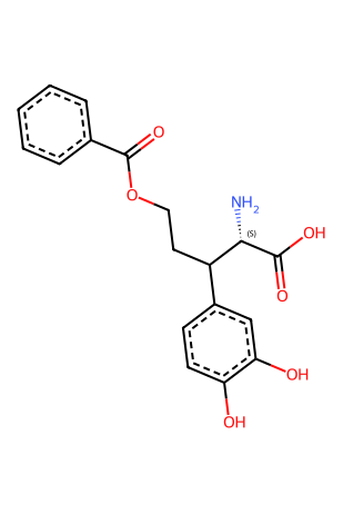 N[C@H](C(=O)O)C(CCOC(=O)c1ccccc1)c1ccc(O)c(O)c1